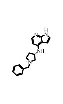 c1ccc(CN2CC[C@H](Nc3ccnc4[nH]ccc34)C2)cc1